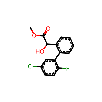 COC(=O)C(O)c1ccccc1-c1cc(Cl)ccc1F